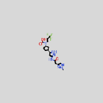 Cn1ncc(CC(=O)Nc2cc([C@H]3CC[C@@H](N(CCC(F)(F)F)C(=O)O)C3)[nH]n2)n1